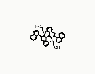 OCCOc1c(-c2cccc3ccccc23)cc2ccccc2c1-c1c(OCCO)c(-c2cccc3ccccc23)cc2ccccc12